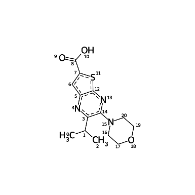 CC(C)c1nc2cc(C(=O)O)sc2nc1N1CCOCC1